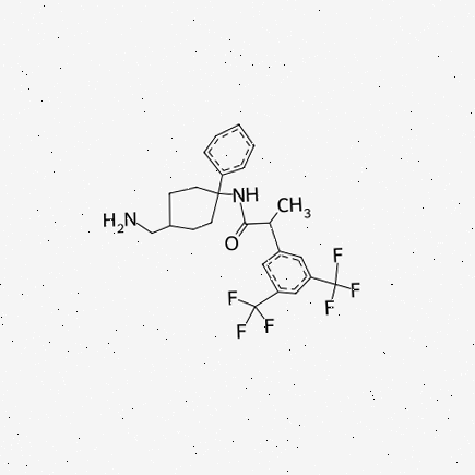 CC(C(=O)NC1(c2ccccc2)CCC(CN)CC1)c1cc(C(F)(F)F)cc(C(F)(F)F)c1